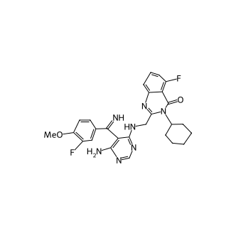 COc1ccc(C(=N)c2c(N)ncnc2NCc2nc3cccc(F)c3c(=O)n2C2CCCCC2)cc1F